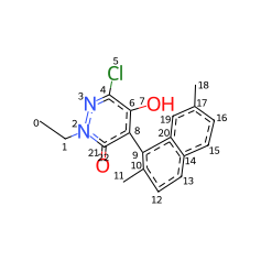 CCn1nc(Cl)c(O)c(-c2c(C)ccc3ccc(C)cc23)c1=O